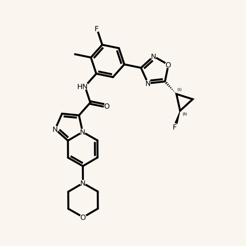 Cc1c(F)cc(-c2noc([C@@H]3C[C@H]3F)n2)cc1NC(=O)c1cnc2cc(N3CCOCC3)ccn12